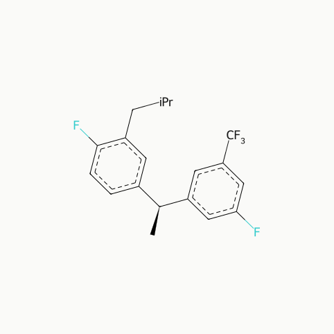 CC(C)Cc1cc([C@H](C)c2cc(F)cc(C(F)(F)F)c2)ccc1F